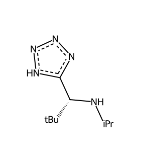 CC(C)N[C@@H](c1nnn[nH]1)C(C)(C)C